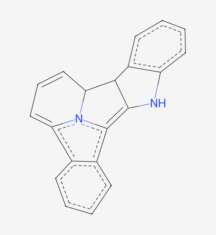 C1=CC2C3C(=c4c5ccccc5c(n42)=C1)Nc1ccccc13